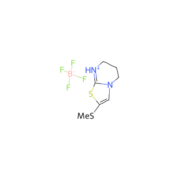 CSC1=CN2CCC[NH+]=C2S1.F[B-](F)(F)F